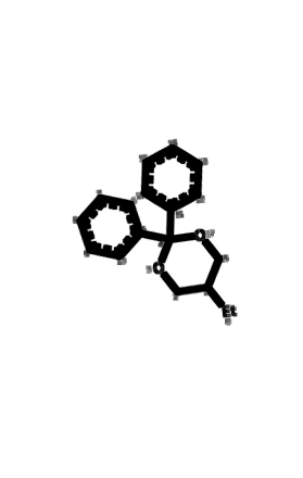 CCC1COC(c2ccccc2)(c2ccccc2)OC1